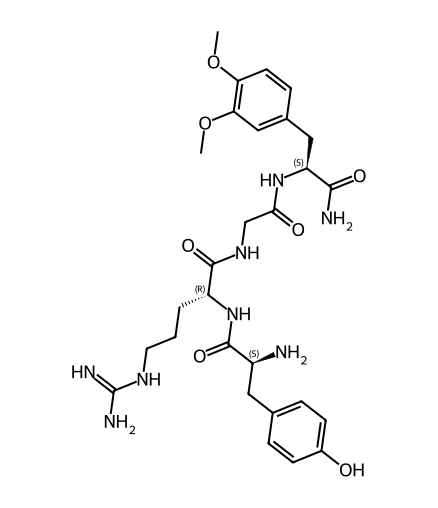 COc1ccc(C[C@H](NC(=O)CNC(=O)[C@@H](CCCNC(=N)N)NC(=O)[C@@H](N)Cc2ccc(O)cc2)C(N)=O)cc1OC